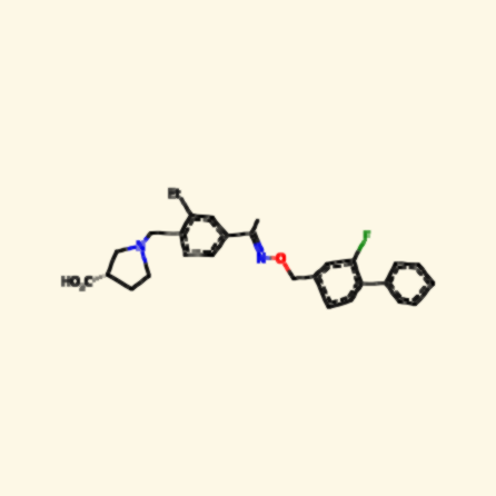 CCc1cc(/C(C)=N/OCc2ccc(-c3ccccc3)c(F)c2)ccc1CN1CC[C@H](C(=O)O)C1